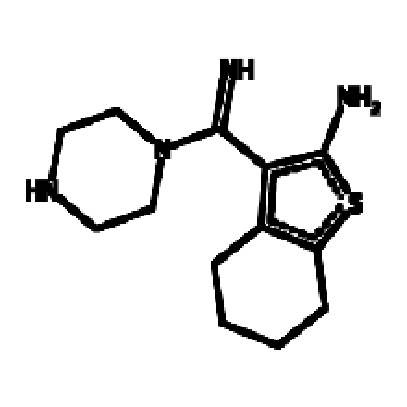 N=C(c1c(N)sc2c1CCCC2)N1CCNCC1